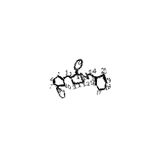 O=C1C(Cc2cccc(Cl)c2)CCN1Cc1ccccc1